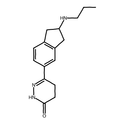 CCCNC1Cc2ccc(C3=NNC(=O)CC3)cc2C1